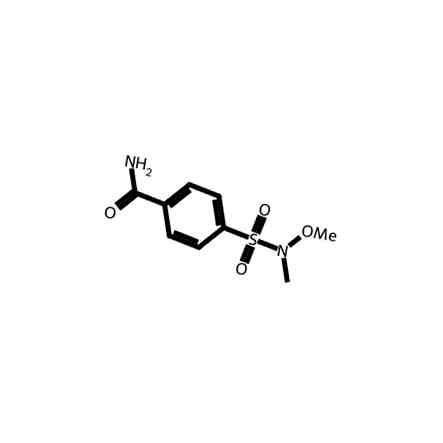 CON(C)S(=O)(=O)c1ccc(C(N)=O)cc1